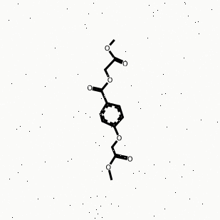 COC(=O)COC(=O)c1ccc(OCC(=O)OC)cc1